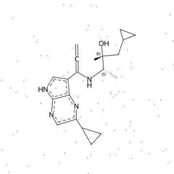 C=C=C(N[C@@H](C)[C@](C)(O)CC1CC1)c1c[nH]c2ncc(C3CC3)nc12